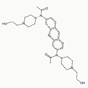 CC(=O)N(c1ccc2cc3ccc(N(C(C)=O)N4CCN(CCO)CC4)cc3nc2c1)N1CCN(CCO)CC1